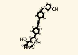 N#C[C@H]1CCN(Cc2ccc(C#Cc3ccc([C@H](CO)Cc4nc[nH]c(=O)c4O)cc3)cc2)C1